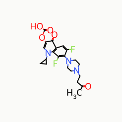 CC(=O)CCN1CCN(c2c(F)cc3c(=O)c(OC(=O)O)cn(C4CC4)c3c2F)CC1